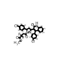 COC(=O)C(F)(F)CC(=O)N1N=C(c2c(-c3ccc(Cl)cc3)c3ccccc3[nH]c2=O)CC1c1ccc(Cl)cc1